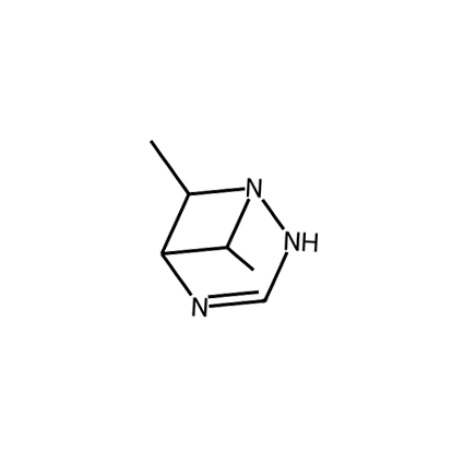 CC1C2N=CNN1C2C